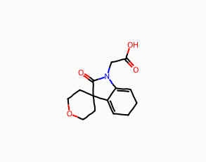 O=C(O)CN1C(=O)C2(CCOCC2)C2=CCCC=C21